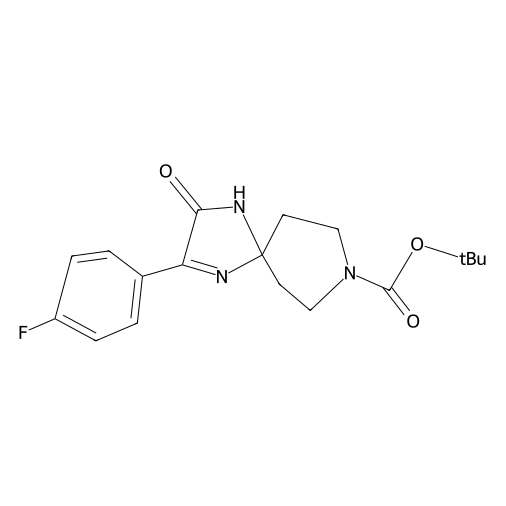 CC(C)(C)OC(=O)N1CCC2(CC1)N=C(c1ccc(F)cc1)C(=O)N2